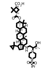 CC(C)S(=O)(=O)N1CCN(C(CN[C@]23CCC(C4(C)CC4)[C@@H]2[C@H]2CC[C@@H]4[C@@]5(C)CC[C@H](OC(=O)[C@H]6C[C@@H](C(=O)O)C6(C)C)C(C)(C)[C@@H]5CC[C@@]4(C)[C@]2(C)CC3)[C@@H](C)O)CC1